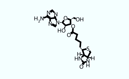 Nc1ncnc2c1ncn2[C@@H]1O[C@H](CO)[C@H](OC(=O)CCCC[C@@H]2SC[C@@H]3NC(=O)N[C@@H]32)[C@H]1O